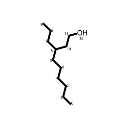 CCCCCCC(CCC)CCO